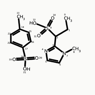 CCC(c1nccn1C)S(=O)(=O)O.Cc1ccc(S(=O)(=O)O)cc1